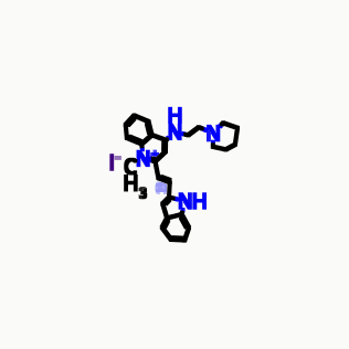 C[n+]1c(/C=C/c2cc3ccccc3[nH]2)cc(NCCN2CCCCC2)c2ccccc21.[I-]